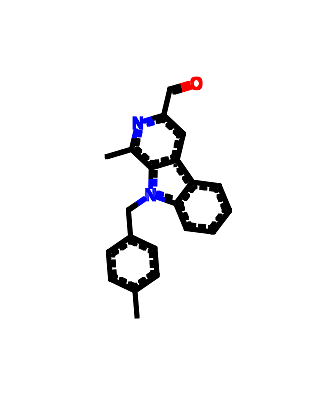 Cc1ccc(Cn2c3ccccc3c3cc(C=O)nc(C)c32)cc1